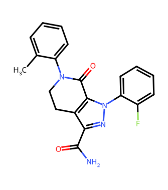 Cc1ccccc1N1CCc2c(C(N)=O)nn(-c3ccccc3F)c2C1=O